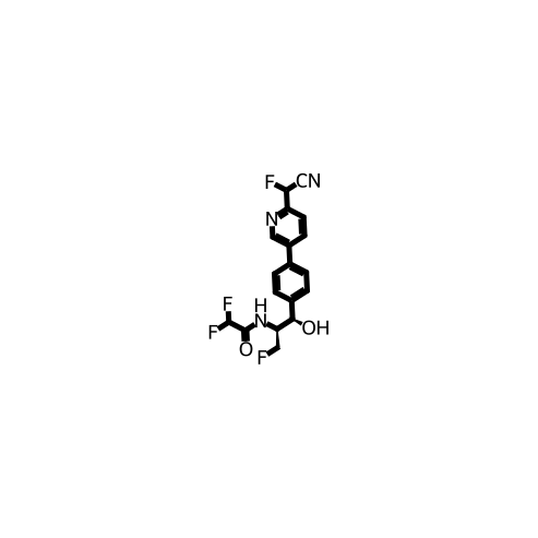 N#CC(F)c1ccc(-c2ccc([C@@H](O)[C@@H](CF)NC(=O)C(F)F)cc2)cn1